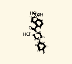 Cl.O=C(c1cccc2c1C=CS2(O)O)N1CCN(c2ccc(F)cc2)CC1